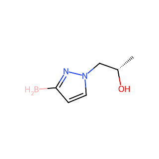 Bc1ccn(C[C@H](C)O)n1